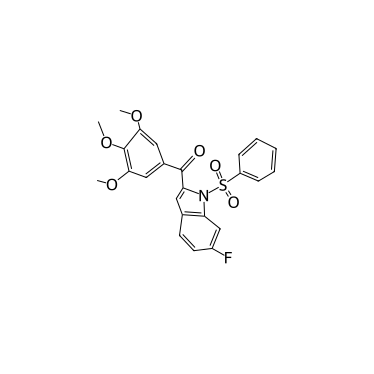 COc1cc(C(=O)c2cc3ccc(F)cc3n2S(=O)(=O)c2ccccc2)cc(OC)c1OC